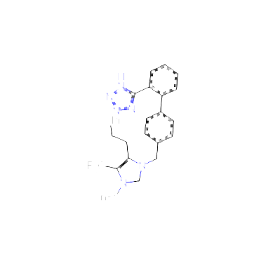 CCCN1CN(Cc2ccc(-c3ccccc3-c3nnn[nH]3)cc2)C(CCC(C)C)=C1C(F)(F)F